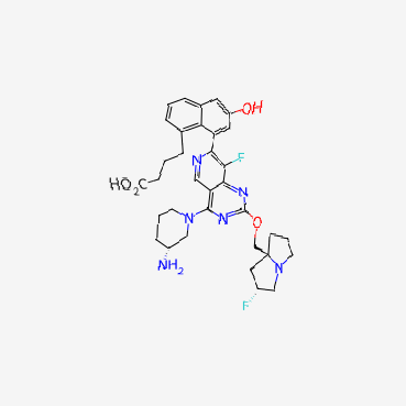 N[C@@H]1CCCN(c2nc(OC[C@@]34CCCN3C[C@H](F)C4)nc3c(F)c(-c4cc(O)cc5cccc(CCCC(=O)O)c45)ncc23)C1